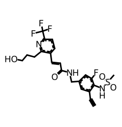 C#Cc1cc(CNC(=O)/C=C/c2ccc(C(F)(F)F)nc2CCCO)cc(F)c1NS(C)(=O)=O